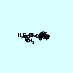 COc1cc2c(cc1OC)CN(CCc1ccc(NC(=O)c3ccc(C(F)(F)F)cc3[N+](=O)[O-])cc1)CC2